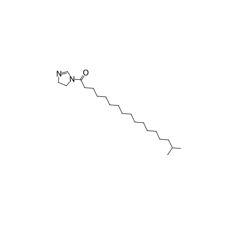 CC(C)CCCCCCCCCCCCCCC(=O)N1C=NCC1